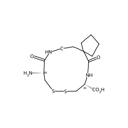 N[C@H]1CSSC[C@@H](C(=O)O)NC(=O)C2(CCCC2)CCNC1=O